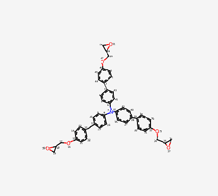 c1cc(-c2ccc(N(c3ccc(-c4ccc(OCC5CO5)cc4)cc3)c3ccc(-c4ccc(OCC5CO5)cc4)cc3)cc2)ccc1OCC1CO1